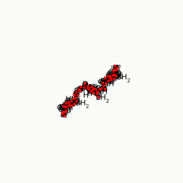 BOc1ccc(C(c2ccc(B=O)c(NC(=O)c3ccc(Oc4ccc(C(=O)Nc5cc(C(c6ccc(B=O)c(N7C(=O)C8C9C=CC(C9)C8C7=O)c6)(C(F)(F)F)C(F)(F)F)ccc5OB)cc4)cc3)c2)(C(F)(F)F)C(F)(F)F)cc1NC(=O)c1cccc(C(=O)Nc2cc(C(c3ccc(OB)c(N4C(=O)C5C6C=CC(C6)C5C4=O)c3)(C(F)(F)F)C(F)(F)F)ccc2B=O)c1